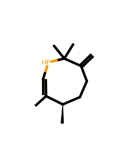 C=C1CC[C@@H](C)/C(C)=C\PC1(C)C